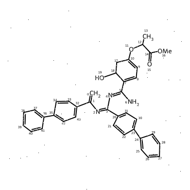 C=C(/N=C(\N=C(/N)C1=CC=C(OC(C)C(=O)OC)CC1O)c1ccc(-c2ccccc2)cc1)c1ccc(-c2ccccc2)cc1